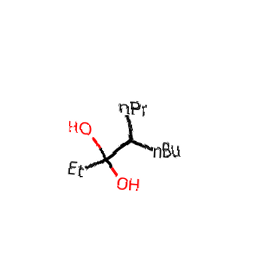 CCCCC(CCC)C(O)(O)CC